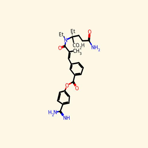 CCN(C(=O)/C(C)=C/c1cccc(C(=O)Oc2ccc(C(=N)N)cc2)c1)[C@@](CC)(CCC(N)=O)C(=O)O